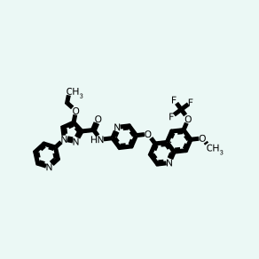 CCOc1cn(-c2cccnc2)nc1C(=O)Nc1ccc(Oc2ccnc3cc(OC)c(OC(F)(F)F)cc23)cn1